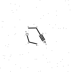 CCC#N.CCCl